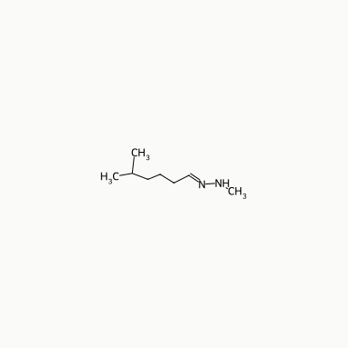 CN/N=C/CCCC(C)C